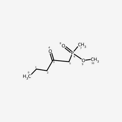 CCCC(=O)CP(C)(=O)OC